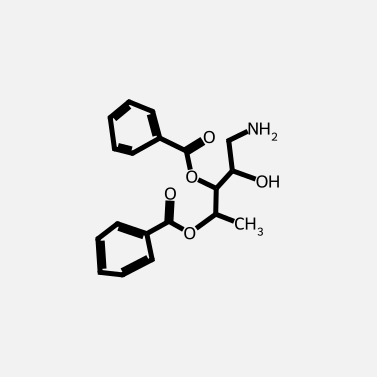 CC(OC(=O)c1ccccc1)C(OC(=O)c1ccccc1)C(O)CN